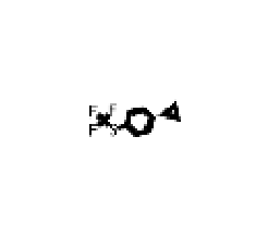 FC(F)(F)Sc1ccc([C@@H]2[CH]C2)cc1